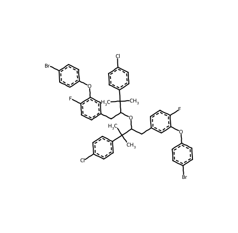 CC(C)(c1ccc(Cl)cc1)C(Cc1ccc(F)c(Oc2ccc(Br)cc2)c1)OC(Cc1ccc(F)c(Oc2ccc(Br)cc2)c1)C(C)(C)c1ccc(Cl)cc1